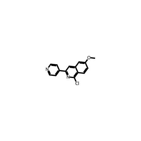 COc1ccc2c(Cl)nc(-c3ccncc3)cc2c1